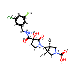 O=C(O)N1C[C@@H]2[C@H](C1)[C@H]2N1CCC(O)(C(=O)NCc2cc(F)cc(Cl)c2)C1=O